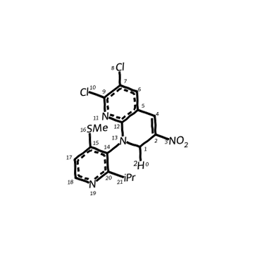 [2H]C1C([N+](=O)[O-])=Cc2cc(Cl)c(Cl)nc2N1c1c(SC)ccnc1C(C)C